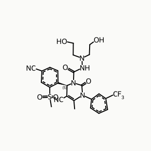 CC1=C(C#N)[C@@H](c2ccc(C#N)cc2S(C)(=O)=O)N(C(=O)NN(CCO)CCO)C(=O)N1c1cccc(C(F)(F)F)c1